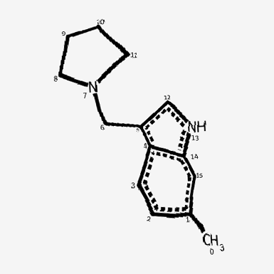 Cc1ccc2c(CN3CCCC3)c[nH]c2c1